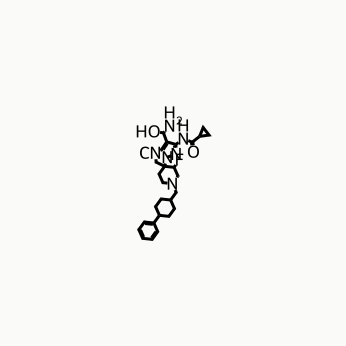 N#CCC1(n2cc(C(N)O)c(NC(=O)C3CC3)n2)CCN(CC2CCC(c3ccccc3)CC2)CC1F